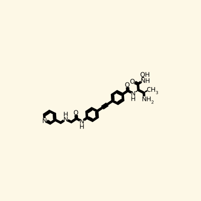 C[C@@H](N)[C@H](NC(=O)c1ccc(C#Cc2ccc(NC(=O)CNCc3cccnc3)cc2)cc1)C(=O)NO